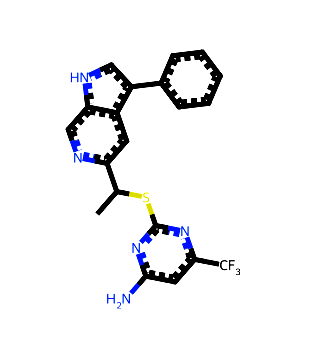 CC(Sc1nc(N)cc(C(F)(F)F)n1)c1cc2c(-c3ccccc3)c[nH]c2cn1